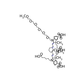 COCCOCCOCCOCCOCCOCCN1/C(=C/C=C2\CCCC(/C=C/C3=[N+](CCCCCC(=O)O)c4ccc(S(=O)(=O)O)cc4C3(C)CCOC)=C2Cl)C(C)(CCCS(=O)(=O)O)c2cc(S(=O)(=O)O)ccc21